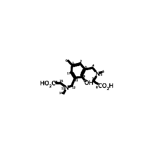 Cc1cc(CN(C)CC(=O)O)c(O)c(CN(C)CC(=O)O)c1